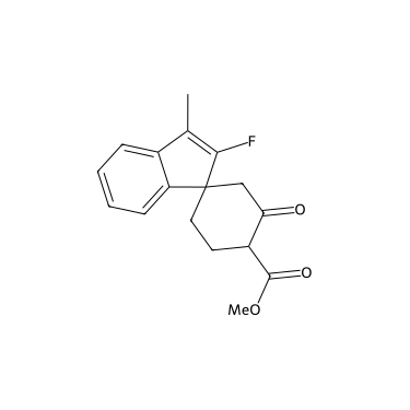 COC(=O)C1CCC2(CC1=O)C(F)=C(C)c1ccccc12